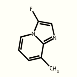 Cc1cccn2c(F)cnc12